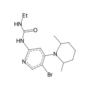 CCNC(=O)Nc1cc(N2C(C)CCCC2C)c(Br)cn1